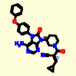 N#C/C(=C\C1CC1)C(=O)N1CCC[C@H](n2c(=O)n(-c3ccc(Oc4ccccc4)cc3)c3c(N)ncnc32)C1